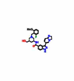 COc1cccc(F)c1CN1CC(CO)CC(NC(=O)c2ccc3[nH]nc(C4=CN5CCN=C5C=C4)c3c2)C1